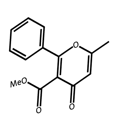 COC(=O)c1c(-c2ccccc2)oc(C)cc1=O